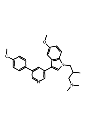 COc1ccc(-c2cncc(-c3cn(CC(C)CN(C)C)c4ccc(OC)cc34)c2)cc1